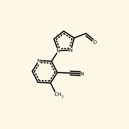 Cc1ccnc(-n2ccc(C=O)n2)c1C#N